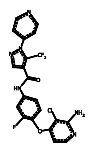 Nc1nccc(Oc2ccc(NC(=O)c3cnn(-c4ccncc4)c3C(F)(F)F)cc2F)c1Cl